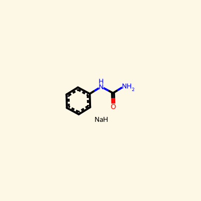 NC(=O)Nc1ccccc1.[NaH]